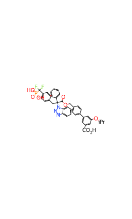 CC(C)Oc1cc(C(=O)O)cc(-c2ccc(COC(=O)C(Cc3ccc(C(F)(F)P(=O)(O)O)cc3)(c3ccccc3)n3nnc4ccccc43)cc2)c1